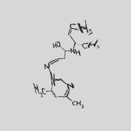 C=C[C@H](C)NC(O)C/C=N\N1CN=C(C)C=C1C